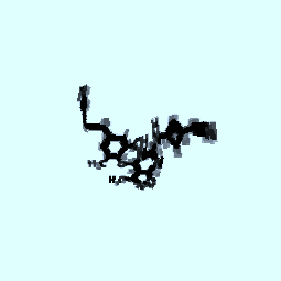 Cc1cc(/C=C/C#N)cc(C)c1Oc1nc(NC23CC(C#N)(C2)C3)nc2onc(C)c12